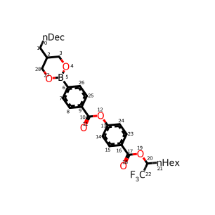 CCCCCCCCCCCC1COB(c2ccc(C(=O)Oc3ccc(C(=O)OC(CCCCCC)C(F)(F)F)cc3)cc2)OC1